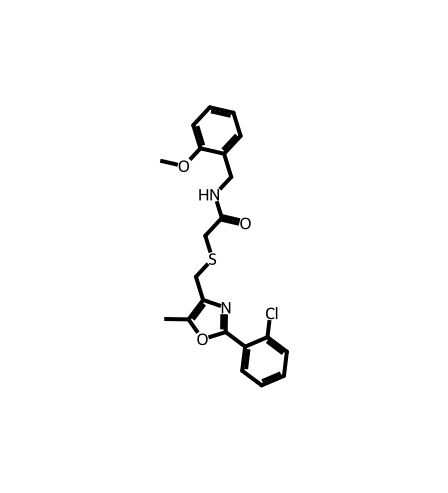 COc1ccccc1CNC(=O)CSCc1nc(-c2ccccc2Cl)oc1C